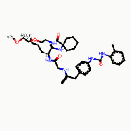 C=C(Cc1ccc(NC(=O)Nc2ccccc2C)cc1)NCC(=O)N[C@@H](CCCC(=O)O)C(=C)NC1(C(=O)NCCOCCOCCC)CCCCC1